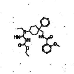 CCOC(=O)NC(=N)N(CC)C1CCC(CNC(=O)c2ccccc2OC)(c2ccccc2)CC1